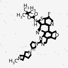 CN1CC2(CCN([C@@H]3CCN(c4ncc5c6c(c(-c7ncc(F)c8sc(NC(=O)OC(C)(C)C)c(C#N)c78)c(F)c5n4)COC6)C3)C2)C1